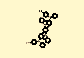 CCc1ccc(N(c2ccccc2)c2ccc3c4cc5c(cc4n4c3c2C2=CC=CCC24)c2ccc(N(c3ccccc3)c3ccc(CC)cc3)c3c4ccccc4n5c23)cc1